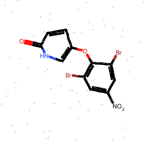 O=c1ccc(Oc2c(Br)cc([N+](=O)[O-])cc2Br)c[nH]1